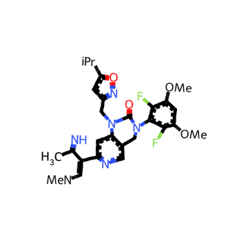 CN/C=C(\C(C)=N)c1cc2c(cn1)CN(c1c(F)c(OC)cc(OC)c1F)C(=O)N2Cc1cc(C(C)C)on1